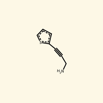 NCC#Cc1cccs1